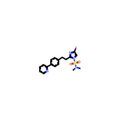 CN(C)S(=O)(=O)n1cc(I)nc1CCc1ccc(-c2ccccn2)cc1